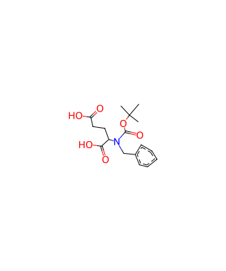 CC(C)(C)OC(=O)N(Cc1ccccc1)C(CCC(=O)O)C(=O)O